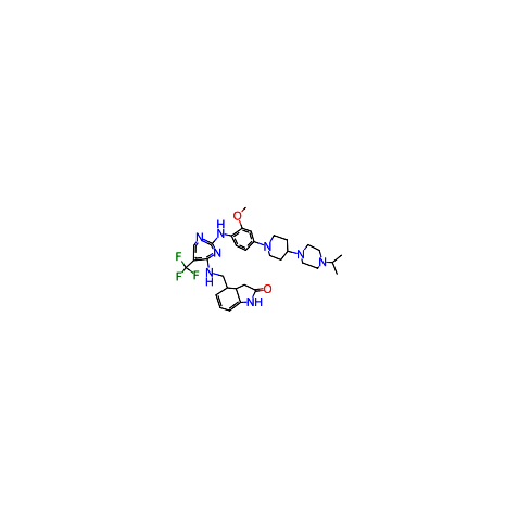 COc1cc(N2CCC(N3CCN(C(C)C)CC3)CC2)ccc1Nc1ncc(C(F)(F)F)c(NCC2C=CC=C3NC(=O)CC32)n1